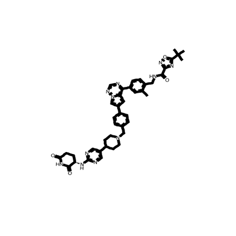 Cc1cc(-c2ncnn3cc(-c4ccc(CN5CCC(c6cnc(N[C@H]7CCC(=O)NC7=O)nc6)CC5)cc4)cc23)ccc1CNC(=O)c1noc(C(C)(C)C)n1